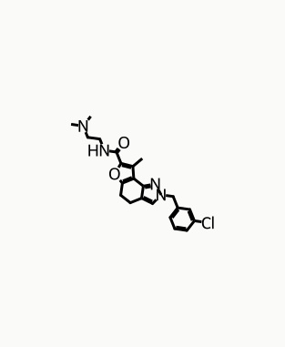 Cc1c(C(=O)NCCN(C)C)oc2c1-c1nn(Cc3cccc(Cl)c3)cc1CC2